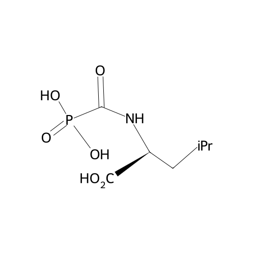 CC(C)C[C@H](NC(=O)P(=O)(O)O)C(=O)O